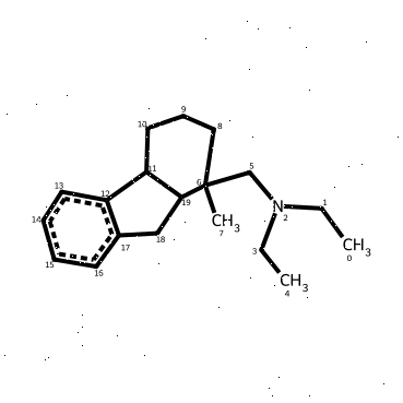 CCN(CC)CC1(C)CCCC2c3ccccc3CC21